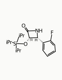 CC(C)[Si](O[C@@H]1C(=O)N[C@@H]1c1ccccc1F)(C(C)C)C(C)C